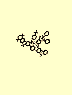 CC(C)(C)c1ccc(N2B3c4cc5nc(-c6ccccc6)n(-c6ccccc6)c5cc4-n4c5cc6c(cc5c5ccc(c3c54)-c3cc4c(cc32)-c2cc3c(cc2C4(C)C)C(C)(C)CCC3(C)C)sc2ccccc26)cc1